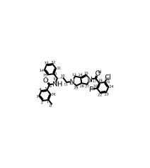 Cc1cccc(C(=O)N[C@@H](CCN2CC3=CN(C(=O)c4c(F)cccc4Cl)CC3C2)c2ccccc2)c1